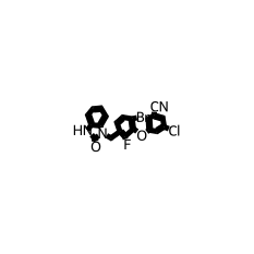 N#Cc1cc(Cl)cc(Oc2c(Br)ccc(Cn3c(=O)[nH]c4ccccc43)c2F)c1